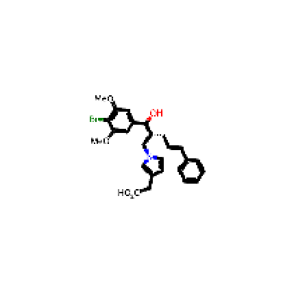 COc1cc(C(O)[C@H](CCCc2ccccc2)Cn2ccc(CC(=O)O)c2)cc(OC)c1Br